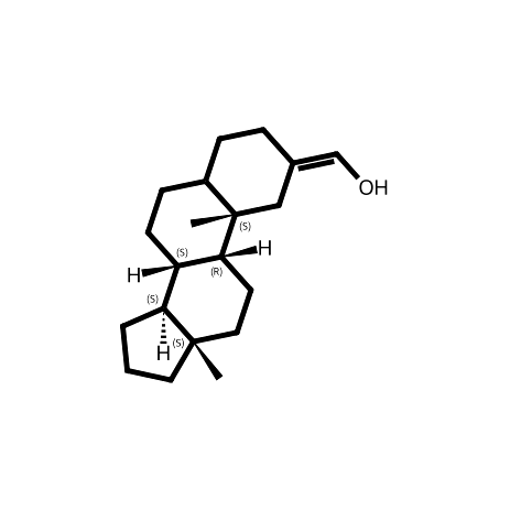 C[C@@]12CCC[C@H]1[C@@H]1CCC3CCC(=CO)C[C@]3(C)[C@@H]1CC2